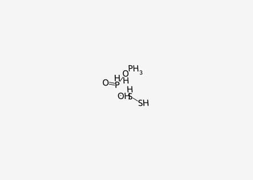 O=[PH](O)O.P.SS